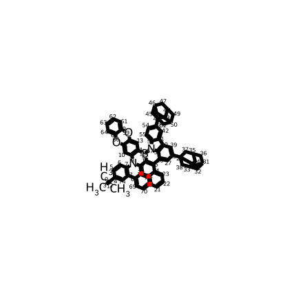 CC(C)(C)c1ccc(N2c3cc4c(cc3B3c5c2cc2ccccc2c5-c2cc(C56CC7CC(CC(C7)C5)C6)cc5c6cc(C78CC9CC(CC(C9)C7)C8)ccc6n3c25)Oc2ccccc2O4)c(-c2ccccc2)c1